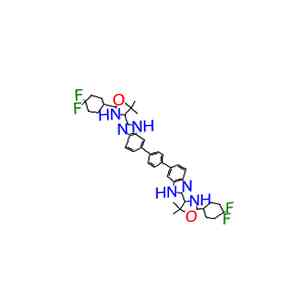 CC(C)(C)[C@H](NC(=O)C1CCC(F)(F)CC1)c1nc2ccc(-c3ccc(-c4ccc5nc([C@@H](NC(=O)C6CCC(F)(F)CC6)C(C)(C)C)[nH]c5c4)cc3)cc2[nH]1